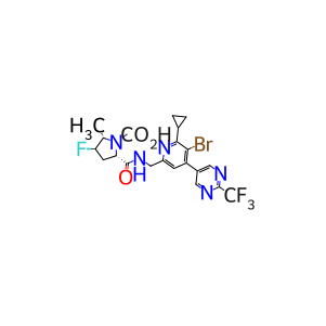 C[C@H]1[C@H](F)C[C@@H](C(=O)NCc2cc(-c3cnc(C(F)(F)F)nc3)c(Br)c(C3CC3)n2)N1C(=O)O